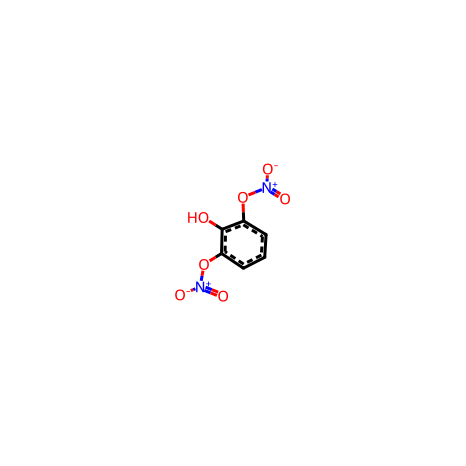 O=[N+]([O-])Oc1cccc(O[N+](=O)[O-])c1O